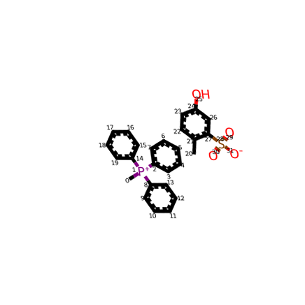 C[P+](c1ccccc1)(c1ccccc1)c1ccccc1.Cc1ccc(O)cc1S(=O)(=O)[O-]